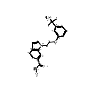 CC(C)(N)c1cccc(OCCn2ccc3ccc(C(=O)NO)cc32)c1